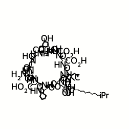 CC(C)CCCCCCCC/C=C/C(=O)N[C@@H](CO)C(=O)N[C@@H]1C(=O)N[C@H](Cc2c[nH]c3ccccc23)C(=O)N[C@@H](CC(=O)O)C(=O)N[C@@H](CC(=O)O)C(=O)N[C@H](c2ccc(O)cc2)C(=O)N[C@@H](CC(=O)O)C(O)NCC(=O)N[C@H]([C@H](O)C(N)=O)C(=O)N[C@H](CCC(=O)O)C(=O)N/C(=C\c2c[nH]c3ccccc23)C(=O)O[C@@H]1C